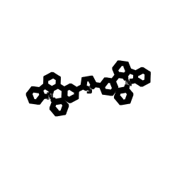 C1=Cc2c(n(-c3ccccc3)c3ccccc23)C(c2cccc(-c3ccc(-c4cccc(-c5cccc6c7ccccc7n(-c7ccccc7)c56)c4)s3)c2)C1